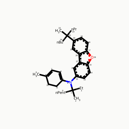 CCCCCC(C)(CC)N(C1=CC=C(C)CC1)c1ccc2oc3ccc(C(C)(CCC)CCCC)cc3c2c1